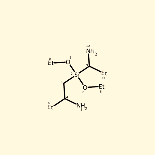 CCO[Si](CC(N)CC)(OCC)C(N)CC